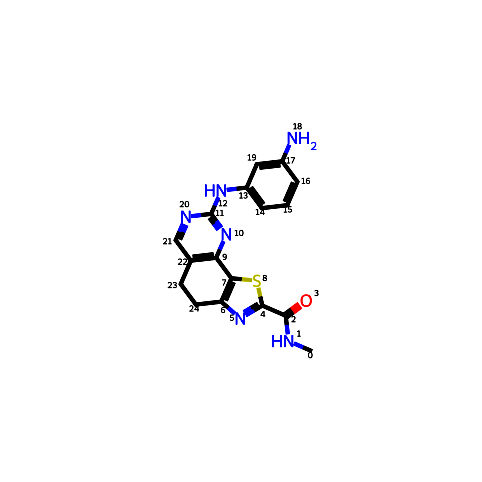 CNC(=O)c1nc2c(s1)-c1nc(Nc3cccc(N)c3)ncc1CC2